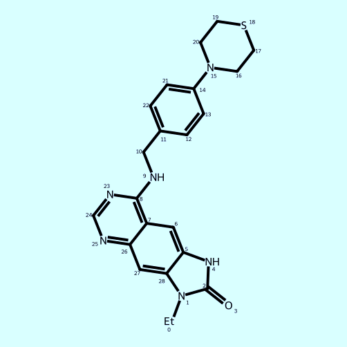 CCn1c(=O)[nH]c2cc3c(NCc4ccc(N5CCSCC5)cc4)ncnc3cc21